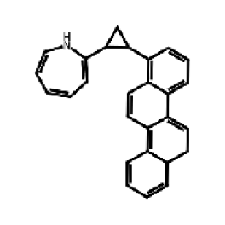 C1=CC=C(C2CC2c2cccc3c4c(ccc23)=C2C=CC=CC2CC=4)NC=C1